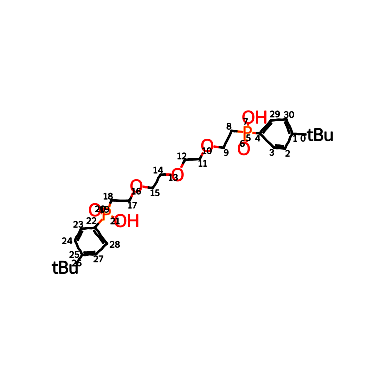 CC(C)(C)c1ccc(P(=O)(O)CCOCCOCCOCCP(=O)(O)c2ccc(C(C)(C)C)cc2)cc1